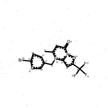 Cc1cc(=O)n2nc(C(F)(F)F)cc2n1Cc1ccc(Br)nc1